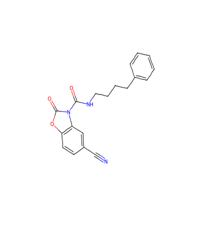 N#Cc1ccc2oc(=O)n(C(=O)NCCCCc3ccccc3)c2c1